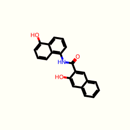 O=C(Nc1cccc2c(O)cccc12)c1cc2ccccc2cc1O